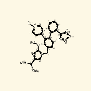 CCOc1nc(C(OC)OC)cn1Cc1ccc(-c2ccccc2-c2nnn[nH]2)c(-c2cc[n+]([O-])cc2)c1